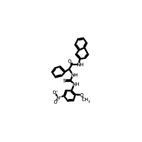 COc1ccc([N+](=O)[O-])cc1NC(=S)NC(C(=O)Nc1ccc2ccccc2c1)c1ccccc1